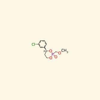 COCP1(=O)OCC[C@@H](c2cccc(Cl)c2)O1